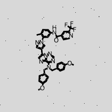 COc1ccc(CN(Cc2ccc(OC)cc2)c2ncnn3c(-c4cnn(-c5cc(NC(=O)c6ccnc(C(F)(F)F)c6)ccc5C)c4)cnc23)cc1